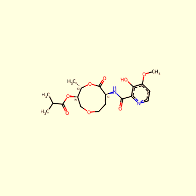 COc1ccnc(C(=O)N[C@H]2CCOC[C@@H](OC(=O)C(C)C)[C@H](C)OC2=O)c1O